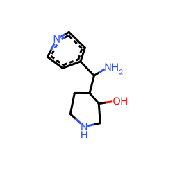 NC(c1ccncc1)C1CCNCC1O